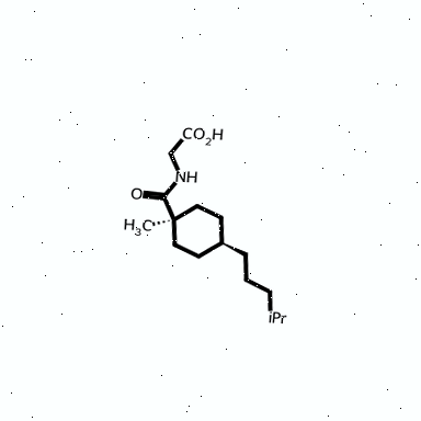 CC(C)CCC[C@H]1CC[C@@](C)(C(=O)NCC(=O)O)CC1